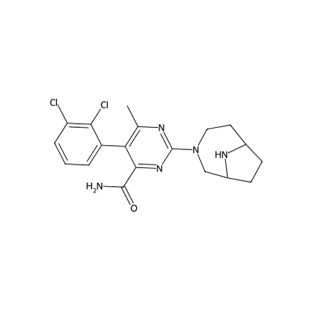 Cc1nc(N2CCC3CCC(C2)N3)nc(C(N)=O)c1-c1cccc(Cl)c1Cl